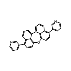 c1cncc(-c2ccc3oc4ccc(-c5cccnc5)c5cccc(c6cccc2c36)c45)c1